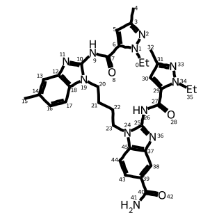 CCn1nc(C)cc1C(=O)Nc1nc2cc(C)ccc2n1CCCCn1c(NC(=O)c2cc(C)nn2CC)nc2cc(C(N)=O)ccc21